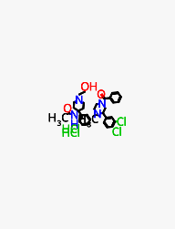 CC(=O)NC1(c2ccccc2)CCN(CCO)CC1.CN1CCN(C(=O)c2ccccc2)CC1c1ccc(Cl)c(Cl)c1.Cl.Cl